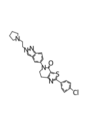 O=C1c2sc(-c3ccc(Cl)cc3)nc2CCN1c1ccc2nn(CCN3CCCC3)cc2c1